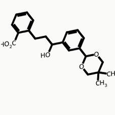 CC1(C)COC(c2cccc(C(O)CCc3ccccc3C(=O)O)c2)OC1